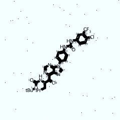 CC(C)CC(NC(=O)OC(C)(C)C)C(=O)c1ncnc2c1ncn2-c1ccc(NC(=O)Nc2ccc(Cl)c(C(F)(F)F)c2)cc1